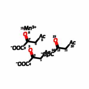 CC(=O)CC(=O)C(=O)[O-].CC(=O)CC(=O)C(=O)[O-].CC(=O)CC(=O)C(=O)[O-].[Mn+3]